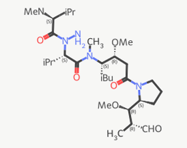 CCC(C)[C@@H]([C@@H](CC(=O)N1CCC[C@H]1[C@H](OC)[C@@H](C)C=O)OC)N(C)C(=O)[C@H](C(C)C)N(N)C(=O)[C@@H](NC)C(C)C